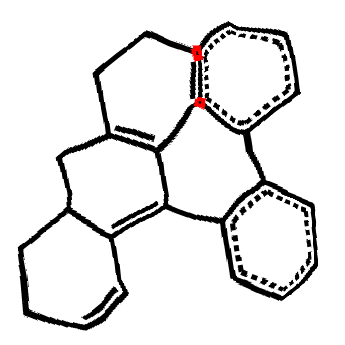 C1=CC2=C(CC1)CC1CCC=CC1=C2c1ccccc1-c1ccccc1